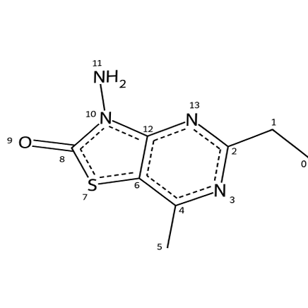 CCc1nc(C)c2sc(=O)n(N)c2n1